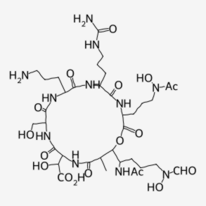 CC(=O)NC(CCCN(O)C=O)C1OC(=O)C(CCCN(O)C(C)=O)NC(=O)C(CCCNC(N)=O)NC(=O)C(CCCN)NC(=O)C(CO)NC(=O)C(C(O)C(=O)O)NC(=O)C1C